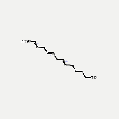 CCCCC/C=C/C/C=C/C/C=C/CCCC[C]=O